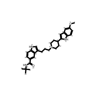 COc1ccc2[nH]c(C3CCN(CCCc4c[nH]c5ccc(C(=O)NC(C)(C)C)cc45)CC3)cc2c1